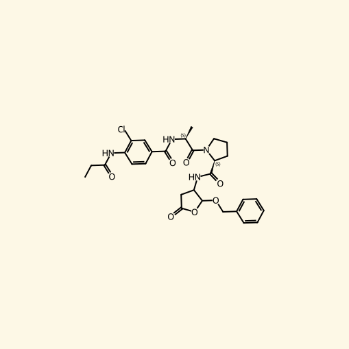 CCC(=O)Nc1ccc(C(=O)N[C@@H](C)C(=O)N2CCC[C@H]2C(=O)NC2CC(=O)OC2OCc2ccccc2)cc1Cl